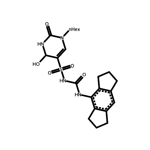 CCCCCCN1C=C(S(=O)(=O)NC(=O)Nc2c3c(cc4c2CCC4)CCC3)C(O)NC1=O